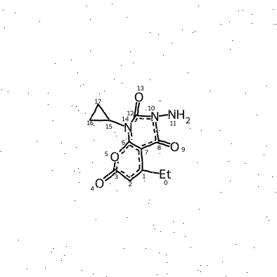 CCc1cc(=O)oc2c1c(=O)n(N)c(=O)n2C1CC1